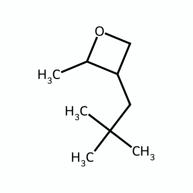 CC1OCC1CC(C)(C)C